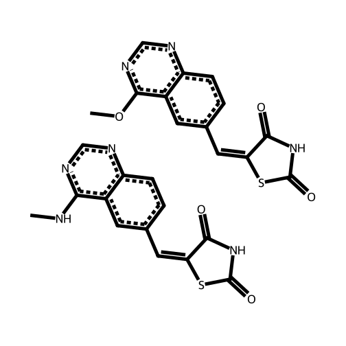 CNc1ncnc2ccc(/C=C3/SC(=O)NC3=O)cc12.COc1ncnc2ccc(/C=C3/SC(=O)NC3=O)cc12